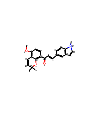 COc1ccc(C(=O)C=Cc2ccc3c(ccn3C)c2)c2c1C=CC(C)(C)O2